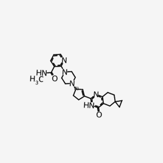 CNC(=O)c1cccnc1N1CCN([C@H]2C=C(c3nc4c(c(=O)[nH]3)CC3(CC4)CC3)CC2)CC1